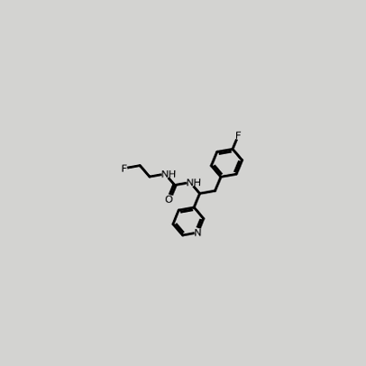 O=C(NCCF)NC(Cc1ccc(F)cc1)c1cccnc1